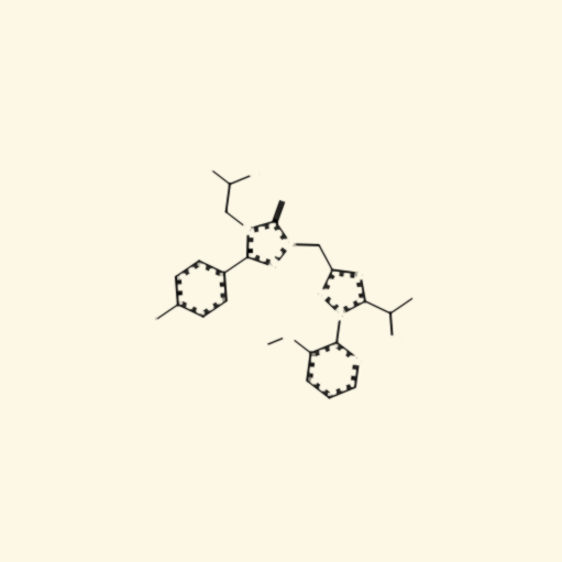 CC(=O)OC(C)c1nc(Cn2nc(-c3ccc(Cl)cc3)n(CC(O)C(F)(F)F)c2=O)nn1-c1ncccc1OC(F)(F)F